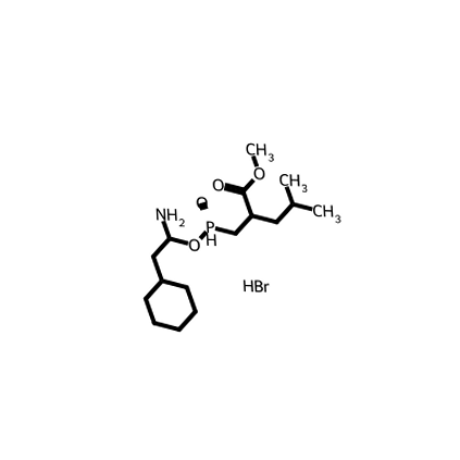 Br.COC(=O)C(CC(C)C)C[PH](=O)OC(N)CC1CCCCC1